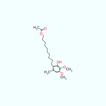 COc1cc(C)c(CCCCCCCCCCOC(C)=O)c(O)c1OC